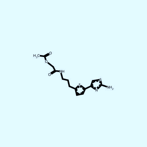 CC(=O)OCC(=O)NCCCc1ccc(-c2csc(N)n2)s1